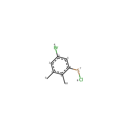 Cc1cc(Br)cc(SCl)c1C